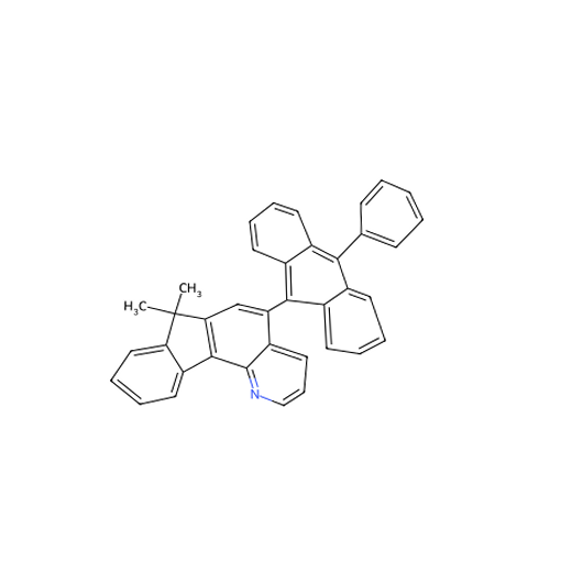 CC1(C)c2ccccc2-c2c1cc(-c1c3ccccc3c(-c3ccccc3)c3ccccc13)c1cccnc21